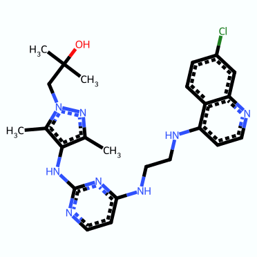 Cc1nn(CC(C)(C)O)c(C)c1Nc1nccc(NCCNc2ccnc3cc(Cl)ccc23)n1